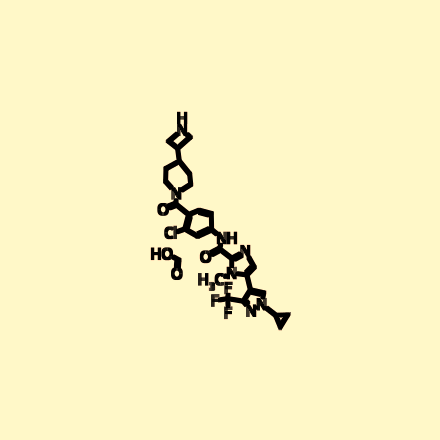 Cn1c(-c2cn(C3CC3)nc2C(F)(F)F)cnc1C(=O)Nc1ccc(C(=O)N2CCC(C3CNC3)CC2)c(Cl)c1.O=CO